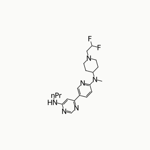 CCCNc1cc(-c2ccc(N(C)C3CCN(CC(F)F)CC3)nc2)ncn1